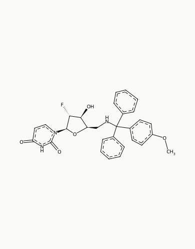 COc1ccc(C(NC[C@H]2O[C@@H](n3ccc(=O)[nH]c3=O)[C@H](F)[C@H]2O)(c2ccccc2)c2ccccc2)cc1